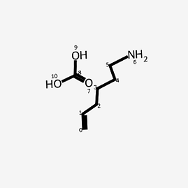 C=CCCCCN.O=C(O)O